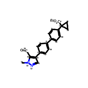 CCOC(=O)C1(c2ccc(-c3ccc(-c4cnn(C)c4C=O)cc3)cc2)CC1